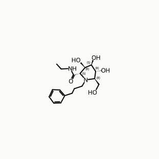 CCNC(=O)[C@@H]1[C@@H](O)[C@@H](O)[C@H](O)[C@@H](CO)N1CCCc1ccccc1